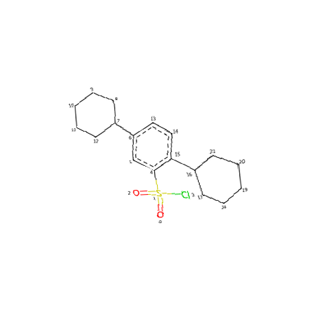 O=S(=O)(Cl)c1cc(C2CCCCC2)ccc1C1CCCCC1